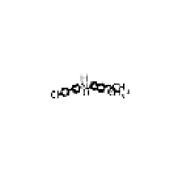 CN(C)Cc1ccc2cc(C(=O)Nc3ccc(-c4ccc(Cl)cc4)cc3)ccc2c1